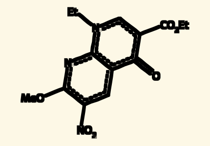 CCOC(=O)c1cn(CC)c2nc(OC)c([N+](=O)[O-])cc2c1=O